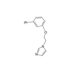 CC(C)c1cccc(OCCn2ccnc2)c1